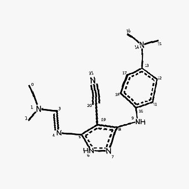 CN(C)C=Nc1[nH]nc(Nc2ccc(N(C)C)cc2)c1C#N